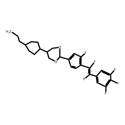 CCCC1CCC(C2COC(c3ccc(/C(F)=C(\F)c4cc(F)c(F)c(F)c4)c(F)c3)OC2)CC1